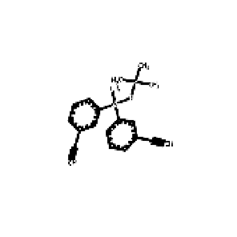 C#Cc1cccc([Si](C)(O[Si](C)(C)C)c2cccc(C#C)c2)c1